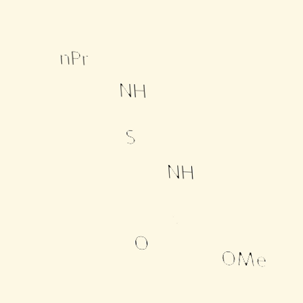 CCCNSNC(=O)OC